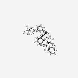 Cc1cccc(F)c1C(=O)N1CCCC(C(=O)Nc2cccc(N3CCC(C)(C)C3)c2)[C@@H]1c1ccccc1